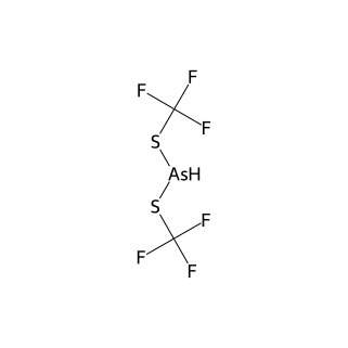 FC(F)(F)S[AsH]SC(F)(F)F